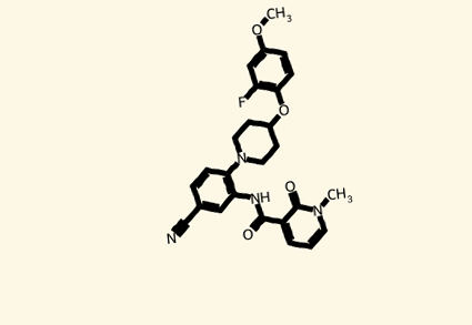 COc1ccc(OC2CCN(c3ccc(C#N)cc3NC(=O)c3cccn(C)c3=O)CC2)c(F)c1